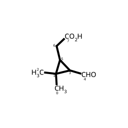 CC1(C)C(C=O)C1CC(=O)O